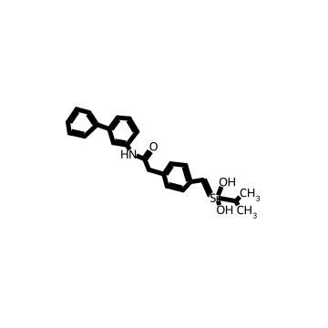 CC(C)[Si](O)(O)C=Cc1ccc(CC(=O)Nc2cccc(-c3ccccc3)c2)cc1